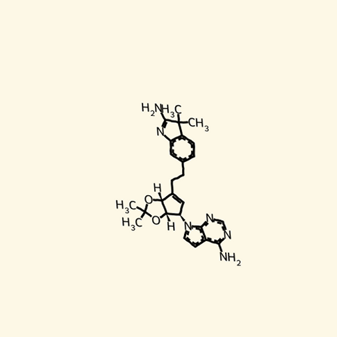 CC1(C)O[C@@H]2[C@H](O1)C(CCc1ccc3c(c1)N=C(N)C3(C)C)=C[C@H]2n1ccc2c(N)ncnc21